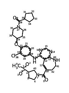 CS(=O)(=O)C1CCN(C(=O)C2=Cc3c(ncnc3Nc3ccc(OC4CCN(C(=O)C5CCCC5)CC4)c(Cl)c3)NCC2)C1